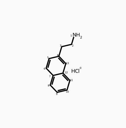 Cl.NCCc1ccc2ccccc2c1